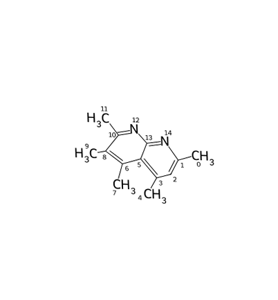 Cc1cc(C)c2c(C)c(C)c(C)nc2n1